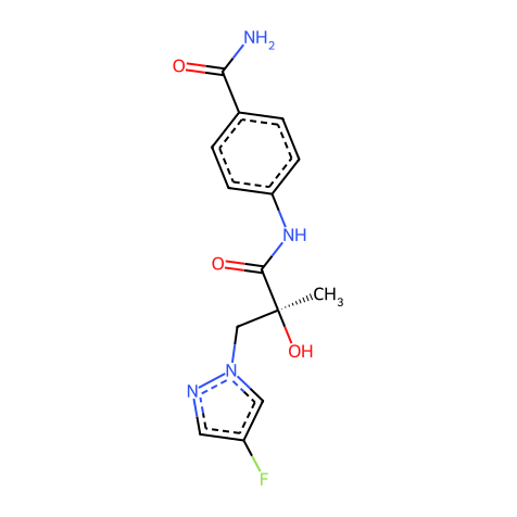 C[C@](O)(Cn1cc(F)cn1)C(=O)Nc1ccc(C(N)=O)cc1